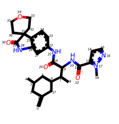 C=C1CC(C)CC(C(C)C(NC(=O)c2ccnn2C)C(=O)Nc2ccc3c(c2)NC(=O)C32CCOCC2)C1